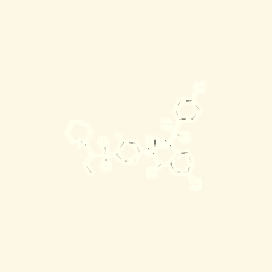 C=CC(N1CCCCC1)S(=O)(=O)c1ccc(NC(=O)c2cc(Cl)ccc2NS(=O)(=O)c2ccc(Cl)cc2)cc1C